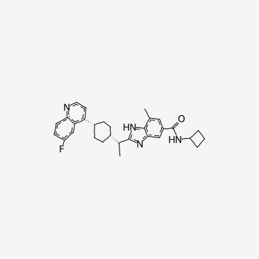 Cc1cc(C(=O)NC2CCC2)cc2nc(C(C)[C@H]3CC[C@@H](c4ccnc5ccc(F)cc54)CC3)[nH]c12